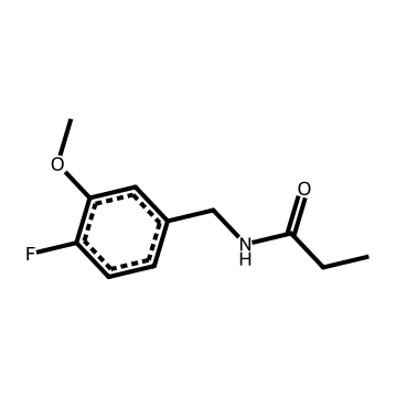 CCC(=O)NCc1ccc(F)c(OC)c1